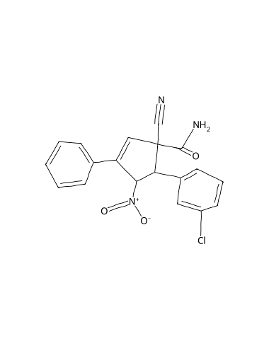 N#CC1(C(N)=O)C=C(c2ccccc2)C([N+](=O)[O-])C1c1cccc(Cl)c1